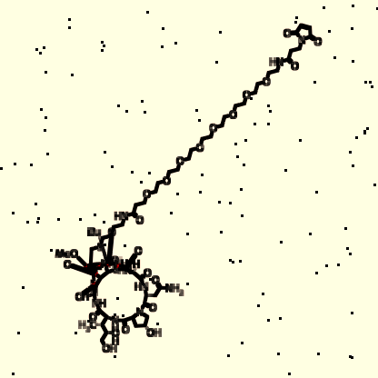 CC[C@H](C)[C@@H]1CCNC(=O)CNC(=O)[C@@H]2CC3c4ccc(OC)c(CSCCCCNC(=O)CCOCCOCCOCCOCCOCCOCCOCCOCCNC(=O)CCN5C(=O)C=CC5=O)c4NC3[S+]([O-])C[C@@H](NC(=O)CNC1=O)C(=O)N[C@@H](CC(N)=O)C(=O)N1C[C@H](O)CC1C(=O)N[C@@H]([C@@H](C)[C@@H](O)CO)C(=O)N2